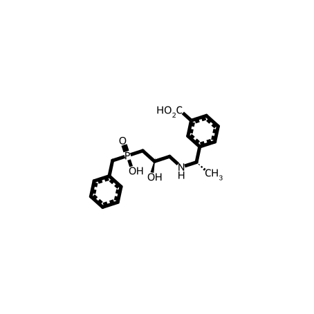 C[C@H](NC[C@@H](O)CP(=O)(O)Cc1ccccc1)c1cccc(C(=O)O)c1